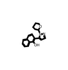 Oc1c(-c2ccnn2C2CCCCO2)ccc2ccccc12